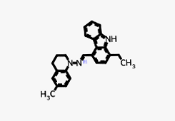 CCc1ccc(/C=N/N2CCCc3cc(C)ccc32)c2c1[nH]c1ccccc12